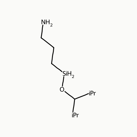 CC(C)C(O[SiH2]CCCN)C(C)C